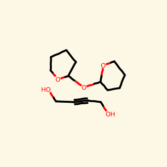 C1CCC(OC2CCCCO2)OC1.OCC#CCO